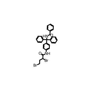 O=C(NC(c1ccccc1)(c1ccccc1)c1ccc(NC(=O)C(Br)CCBr)cc1)c1ccccc1